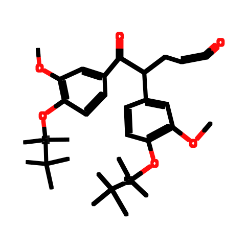 COc1cc(C(=O)C(CC=C=O)c2ccc(O[Si](C)(C)C(C)(C)C)c(OC)c2)ccc1O[Si](C)(C)C(C)(C)C